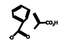 C=C(C)C(=O)O.[O]C(=O)c1ccccc1